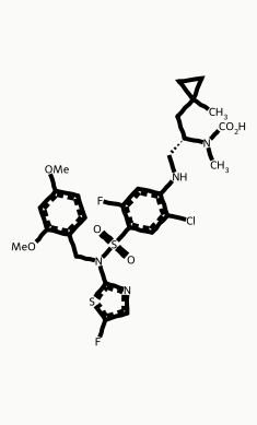 COc1ccc(CN(c2ncc(F)s2)S(=O)(=O)c2cc(Cl)c(NC[C@H](CC3(C)CC3)N(C)C(=O)O)cc2F)c(OC)c1